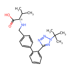 CC(C)[C@H](NCc1ccc(-c2ccccc2-c2nnn(C(C)(C)C)n2)cc1)C(=O)O